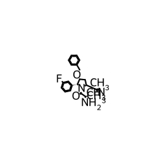 C[C@@H](N)C(=O)N1C(C(C)(C)C#N)C[C@@H](OCc2ccccc2)[C@H]1c1cccc(F)c1